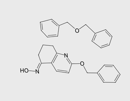 ON=C1CCCc2nc(OCc3ccccc3)ccc21.c1ccc(COCc2ccccc2)cc1